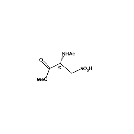 COC(=O)[C@@H](CS(=O)(=O)O)NC(C)=O